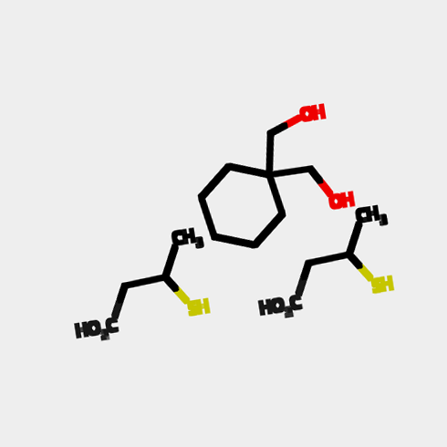 CC(S)CC(=O)O.CC(S)CC(=O)O.OCC1(CO)CCCCC1